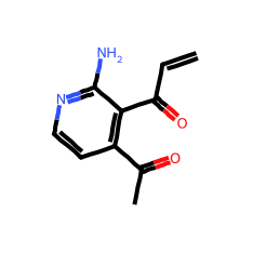 C=CC(=O)c1c(C(C)=O)ccnc1N